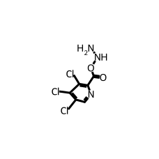 NNOC(=O)c1ncc(Cl)c(Cl)c1Cl